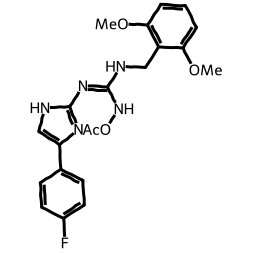 COc1cccc(OC)c1CNC(=Nc1nc(-c2ccc(F)cc2)c[nH]1)NOC(C)=O